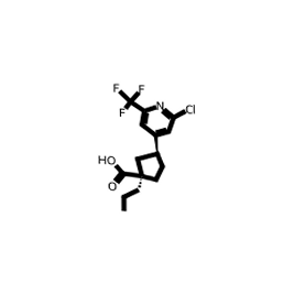 CCC[C@@]1(C(=O)O)CC[C@H](c2cc(Cl)nc(C(F)(F)F)c2)C1